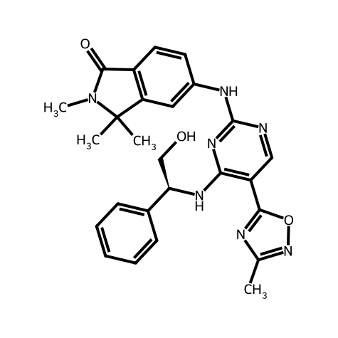 Cc1noc(-c2cnc(Nc3ccc4c(c3)C(C)(C)N(C)C4=O)nc2N[C@H](CO)c2ccccc2)n1